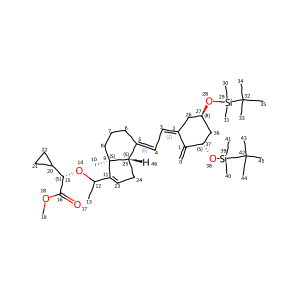 C=C1/C(=C\C=C2/CCC[C@]3(C)C(C(C)O[C@H](C(=O)OC)C4CC4)=CC[C@@H]23)C[C@@H](O[Si](C)(C)C(C)(C)C)C[C@@H]1O[Si](C)(C)C(C)(C)C